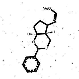 CO/C=C\C1CC[C@@H]2OC(c3ccccc3)OC[C@@H]12